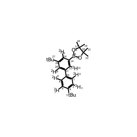 [2H]c1c([2H])c(C(C)(C)C)c([2H])c([2H])c1-c1c([2H])c(B2OC(C)(C)C(C)(C)O2)c([2H])c(C(C)(C)C)c1[2H]